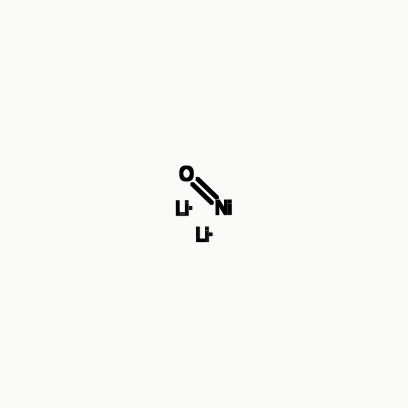 [Li].[Li].[O]=[Ni]